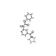 O=C(Nc1cccc(C(=O)N2CCCC2)c1)Oc1ccccc1